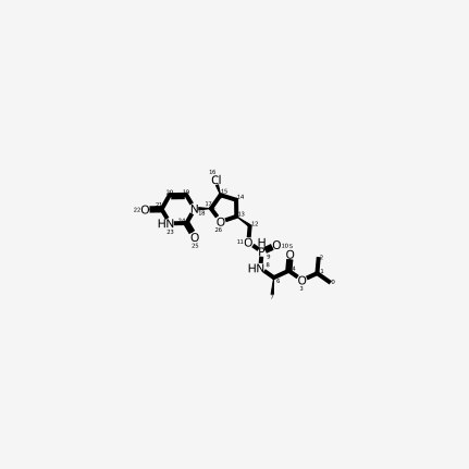 CC(C)OC(=O)[C@@H](C)N[PH](=O)OC[C@@H]1C[C@H](Cl)[C@H](n2ccc(=O)[nH]c2=O)O1